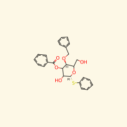 O=C(OC1C(O)[C@@H](Sc2ccccc2)OC(CO)[C@@H]1OCc1ccccc1)c1ccccc1